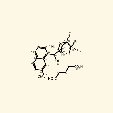 CC[C@H]1C[N@]2CC[C@H]1C[C@@H]2[C@@H](O)c1ccnc2ccc(OC)cc12.O=C(O)CCCC(=O)O